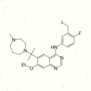 CCOc1cc2ncnc(Nc3ccc(F)c(CI)c3)c2cc1C(C)(C)N1CCCN(C)CC1